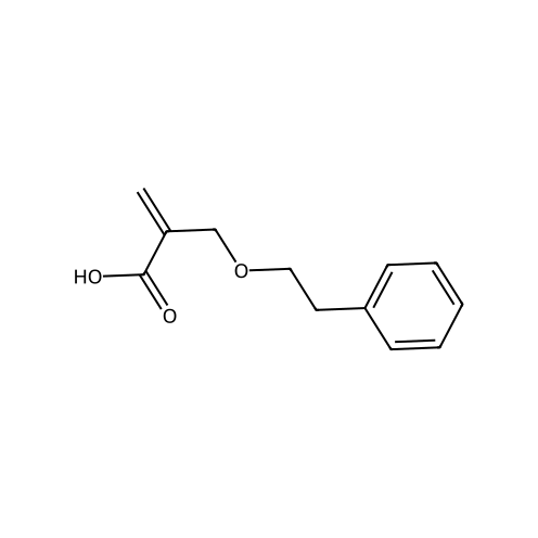 C=C(COCCc1ccccc1)C(=O)O